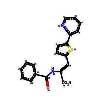 O=C(O)C(=Cc1ccc(-c2ccccn2)s1)NC(=O)c1ccccc1